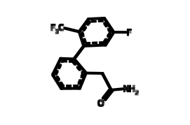 NC(=O)Cc1ccccc1-c1cc(F)ccc1C(F)(F)F